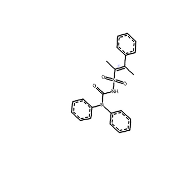 C/C(=C(/C)S(=O)(=O)NC(=O)N(c1ccccc1)c1ccccc1)c1ccccc1